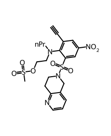 C#Cc1cc([N+](=O)[O-])cc(S(=O)(=O)N2CCc3ncccc3C2)c1N(CCC)CCOS(C)(=O)=O